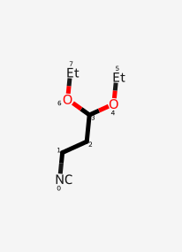 [C-]#[N+]CCC(OCC)OCC